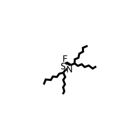 CCCCCCC(CCCCCC)c1nc(C(CCCCCC)CCCCCC)c(F)s1